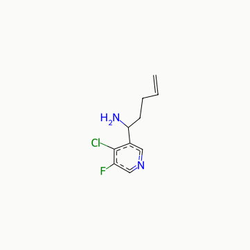 C=CCCC(N)c1cncc(F)c1Cl